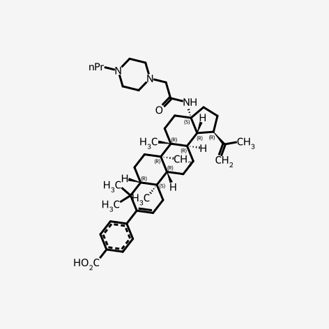 C=C(C)[C@@H]1CC[C@]2(NC(=O)CN3CCN(CCC)CC3)CC[C@]3(C)[C@H](CC[C@@H]4[C@@]5(C)CC=C(c6ccc(C(=O)O)cc6)C(C)(C)[C@@H]5CC[C@]43C)[C@@H]12